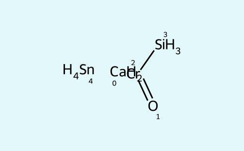 [CaH2].[O]=[Cr][SiH3].[SnH4]